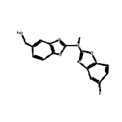 CN(c1nc2cc(F)ccc2o1)c1nc2cc(CO)ccc2o1